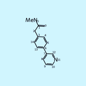 C=C(Cc1ccc(-c2cccnc2)cc1)NC